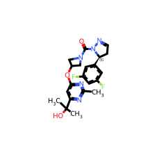 Cc1nc(OC2CN(C(=O)N3N=CC[C@H]3c3cc(F)cc(F)c3)C2)cc(C(C)(C)O)n1